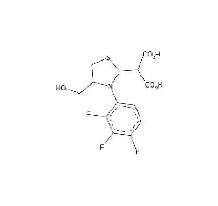 O=C(O)C(C(=O)O)C1SCC(CO)N1c1ccc(F)c(F)c1F